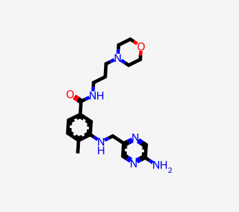 Cc1ccc(C(=O)NCCCN2CCOCC2)cc1NCc1cnc(N)cn1